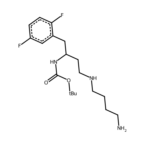 CC(C)(C)OC(=O)NC(CCNCCCCN)Cc1cc(F)ccc1F